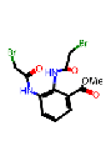 COC(=O)c1cccc(NC(=O)CBr)c1NC(=O)CBr